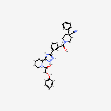 N#CC1(c2ccccc2)CCN(C(=O)c2cccc(-c3n[nH]c(C4CCCCN4C(=O)COc4ccccc4)n3)c2)CC1